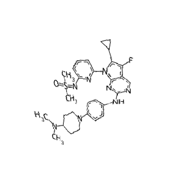 CN(C)C1CCN(c2ccc(Nc3ncc4c(F)c(C5CC5)n(-c5cccc(N=S(C)(C)=O)n5)c4n3)cc2)CC1